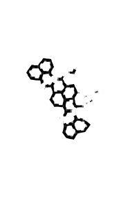 COS(=O)(=O)Oc1c2ccc3c(OC=O)n4c5cccc6cccc(nc4c4ccc(c2c34)c2nc3cccc4cccc(c43)n12)c65